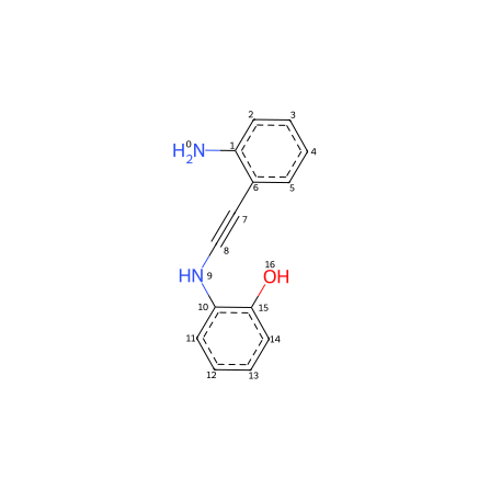 Nc1ccccc1C#CNc1ccccc1O